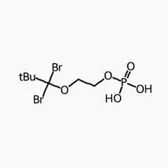 CC(C)(C)C(Br)(Br)OCCOP(=O)(O)O